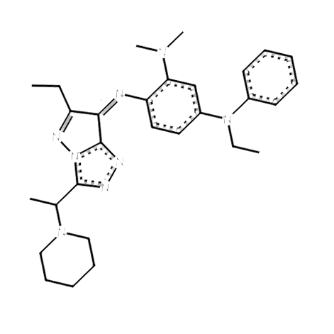 CCC1=Nn2c(nnc2C(C)N2CCCCC2)/C1=N\c1ccc(N(CC)c2ccccc2)cc1N(C)C